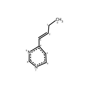 CCC=Cc1ccncn1